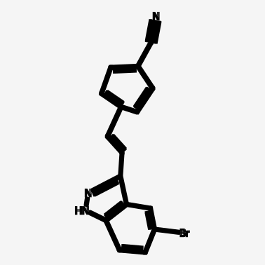 N#Cc1ccc(C=Cc2n[nH]c3ccc(Br)cc23)cc1